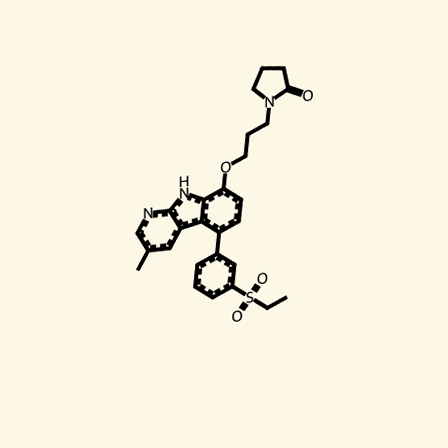 CCS(=O)(=O)c1cccc(-c2ccc(OCCCN3CCCC3=O)c3[nH]c4ncc(C)cc4c23)c1